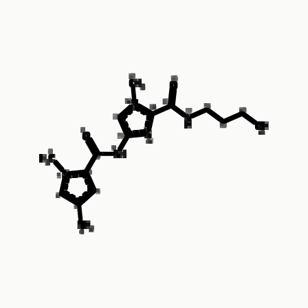 Cn1cc(N)cc1C(=O)Nc1cn(C)c(C(=O)NCCCO)n1